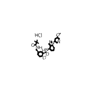 COc1cncc(-n2ncc3c(NC(=O)c4cc(CNC(=O)C(C)(C)C)ccc4Cl)cccc32)c1.Cl